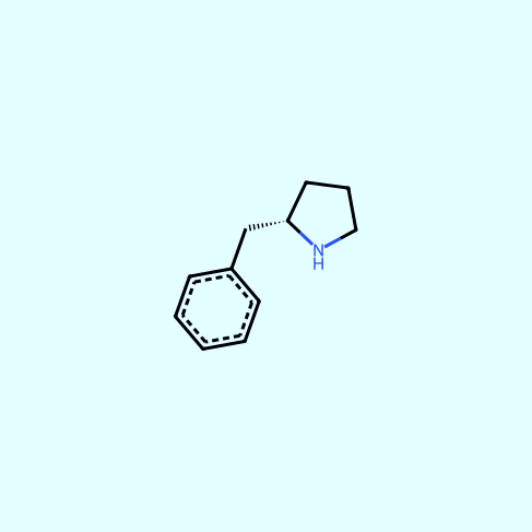 c1ccc(C[C@@H]2CCCN2)cc1